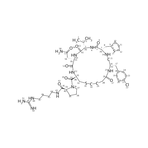 CC(C)[C@@H]1NC(=O)[C@H](Cc2cccs2)NC[C@H](Cc2ccc(Cl)cc2)NC(=O)CCCSC[C@@H](C(=O)N2CCC[C@H]2C(=O)NCCCCNC(=N)N)NC(=O)[C@H](CC(N)=O)NC1=O